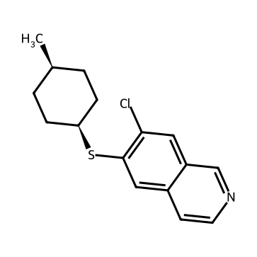 C[C@H]1CC[C@@H](Sc2cc3ccncc3cc2Cl)CC1